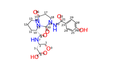 O=C[C@H](CC(=O)O)NC(=O)[C@@H]1CCCN2C(=O)CCN(NC(=O)c3ccc(O)cc3)C(=O)N12